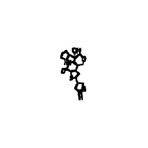 O=c1[nH]c2c(c3cc(-c4cn[nH]c4)sc13)COC[C@]2(O)C1CCCC1